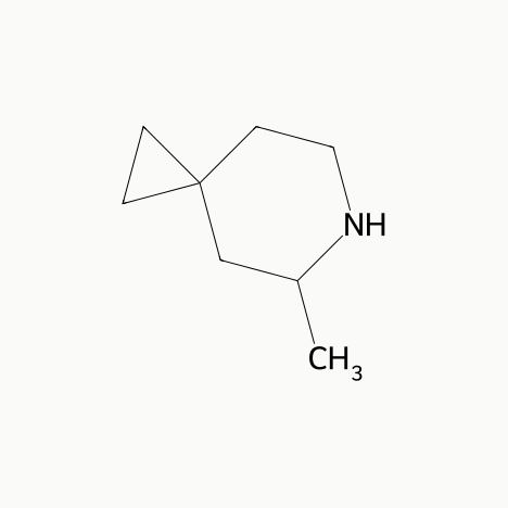 CC1CC2(CCN1)CC2